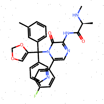 CN[C@@H](C)C(=O)Nc1ncc(-c2ccc(F)cc2)n(C(C2=COCO2)(c2cccnc2)c2cccc(C)c2)c1=O